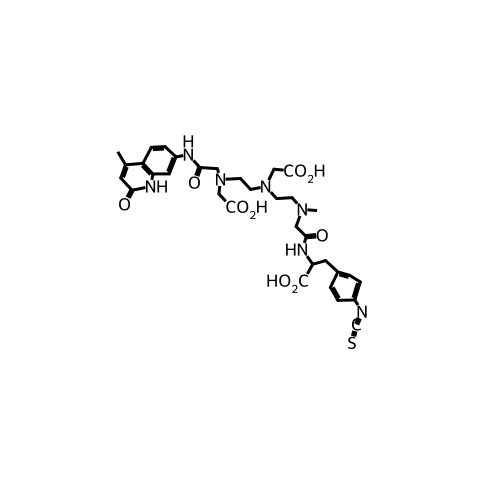 Cc1cc(=O)[nH]c2cc(NC(=O)CN(CCN(CCN(C)CC(=O)NC(Cc3ccc(N=C=S)cc3)C(=O)O)CC(=O)O)CC(=O)O)ccc12